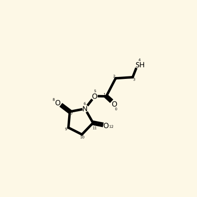 O=C(CCS)ON1C(=O)CCC1=O